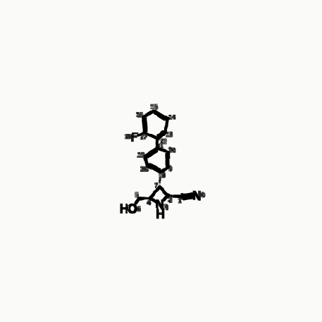 N#C[C@H]1N[C@@H](CO)[C@@H]1c1ccc(-c2ccccc2F)cc1